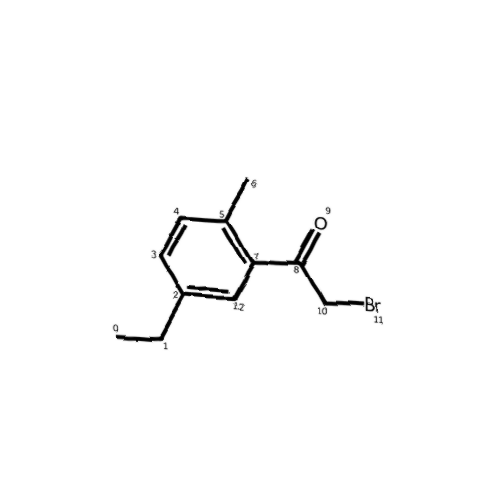 CCc1ccc(C)c(C(=O)CBr)c1